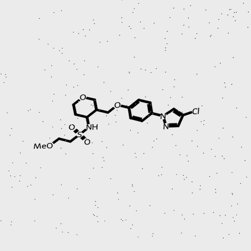 COCCS(=O)(=O)NC1CCOCC1COc1ccc(-n2cc(Cl)cn2)cc1